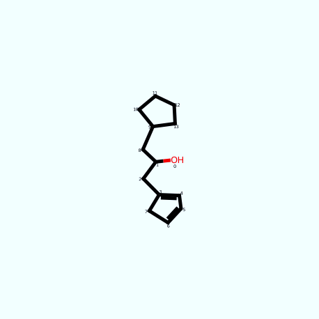 OC(CC1=CC=CC1)CC1CCCC1